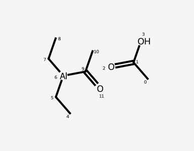 CC(=O)O.C[CH2][Al]([CH2]C)[C](C)=O